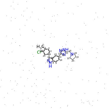 Cc1ccc(-c2n[nH]c3ccc(-c4n[nH]c(CN5CCCC5)n4)cc23)cc1Cl